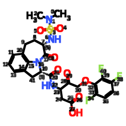 CN(C)S(=O)(=O)N[C@H]1CCc2cccc3c2N(C1=O)[C@H](C(=O)NC(CC(=O)O)C(=O)COc1c(F)ccc(F)c1F)C3